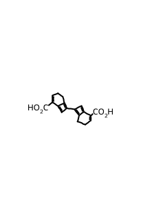 O=C(O)C1=CCCC2=C(C3=C4CCC=C(C(=O)O)C4=C3)C=C12